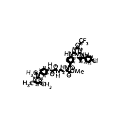 COC(=O)[C@H](CCNC(=O)C(=O)Nc1ccc(N(C)c2nc(C)cc(C)n2)cc1)NC(=O)c1ccc(Nc2nc(NC3(c4ccc(Cl)cc4)CC3)nc(OCC(F)(F)F)n2)cc1